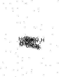 CC(C)(C)[C@H](O)C(=O)N[C@@H](Cc1ccccc1)[C@@H](O)C[C@H](Cc1ccc(-c2ccccn2)cc1)NC(=O)[C@@H](NC(=O)O)C(C)(C)C